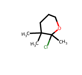 CC1(C)CCCOC1(C)Cl